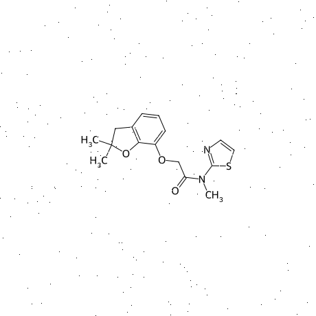 CN(C(=O)COc1cccc2c1OC(C)(C)C2)c1nccs1